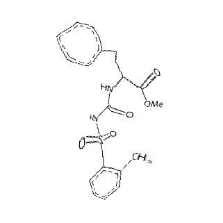 COC(=O)C(Cc1ccccc1)NC(=O)NS(=O)(=O)c1ccccc1C